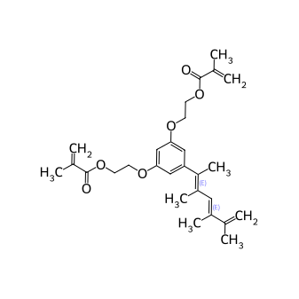 C=C(C)C(=O)OCCOc1cc(OCCOC(=O)C(=C)C)cc(/C(C)=C(C)/C=C(\C)C(=C)C)c1